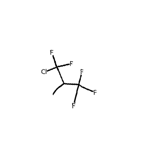 CC(C(F)(F)F)C(F)(F)Cl